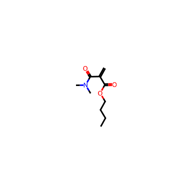 C=C(C(=O)OCCCC)C(=O)N(C)C